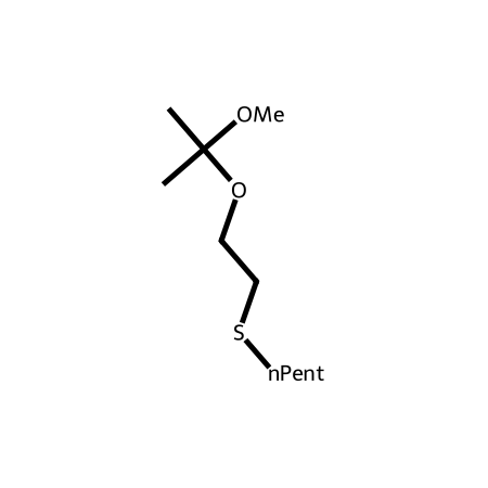 CCCCCSCCOC(C)(C)OC